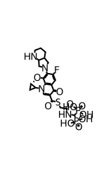 COc1c(N2CC3CCCNC3C2)c(F)cc2c(=O)c(C(=O)SCC(=O)NC(P(=O)(O)O)P(=O)(O)O)cn(C3CC3)c12